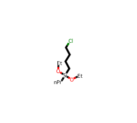 CCC[Si](CCCCCl)(OCC)OCC